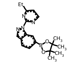 CCc1ccnc(-n2ncc3ccc(B4OC(C)(C)C(C)(C)O4)cc32)n1